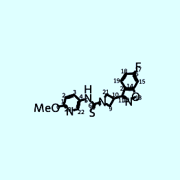 COc1ccc(NC(=S)N2CC(c3noc4cc(F)ccc34)C2)cn1